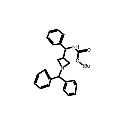 CC(C)(C)OC(=O)NC(c1ccccc1)C1CN(C(c2ccccc2)c2ccccc2)C1